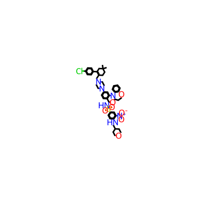 CC1(C)CCC(CN2CCN(c3ccc(C(=O)NS(=O)(=O)c4ccc(NCC5CCOCC5)c([N+](=O)[O-])c4)c(N4CCCOc5ccccc54)c3)CC2)=C(c2ccc(Cl)cc2)C1